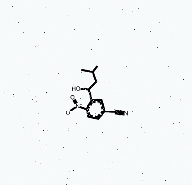 CC(C)CC(O)c1cc(C#N)ccc1[N+](=O)[O-]